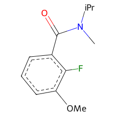 COc1cccc(C(=O)N(C)C(C)C)c1F